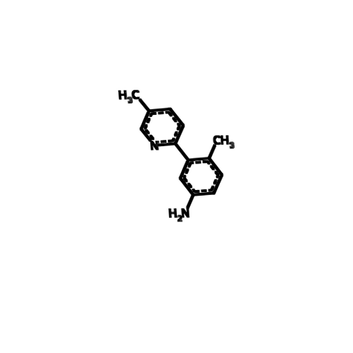 Cc1ccc(-c2cc(N)ccc2C)nc1